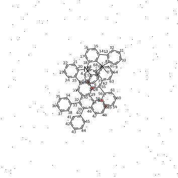 CC1(c2ccccc2)c2ccccc2-c2cccc(N(c3ccccc3-c3ccc4c(c3)c(-c3ccccc3)c(-c3ccccc3)c3ccccc34)c3ccc(-c4ccccc4)c4ccccc34)c21